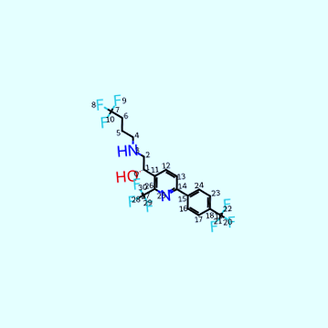 O[C@H](CNCCCC(F)(F)F)c1ccc(-c2ccc(C(F)(F)F)cc2)nc1C(F)(F)F